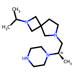 CC(C)N1CC2(CCN(C[C@@H](C)N3CCNCC3)C2)C1